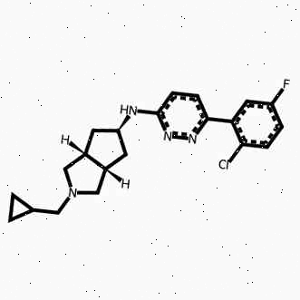 Fc1ccc(Cl)c(-c2ccc(N[C@H]3C[C@@H]4CN(CC5CC5)C[C@@H]4C3)nn2)c1